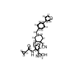 N#CCC1(n2cc(C(N)O)c(NC(=O)C3CC3)n2)CCN(Cc2ccc(-c3ccoc3)cc2)CC1F